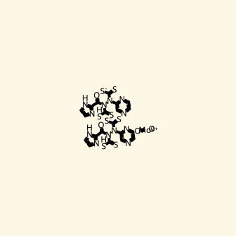 O=C(c1ncc[nH]1)N(C(=S)S)N(C(=S)[S-])c1cnccn1.O=C(c1ncc[nH]1)N(C(=S)S)N(C(=S)[S-])c1cnccn1.[O]=[Mo+2]=[O]